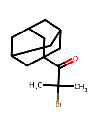 CC(C)(Br)C(=O)C12CC3CC(CC(C3)C1)C2